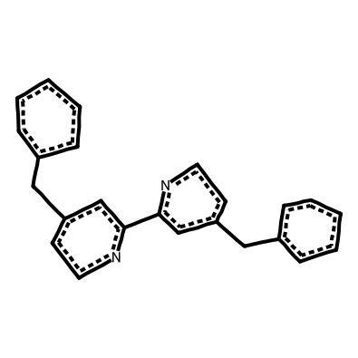 c1ccc(Cc2ccnc(-c3cc(Cc4ccccc4)ccn3)c2)cc1